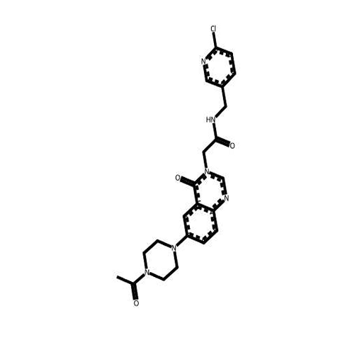 CC(=O)N1CCN(c2ccc3ncn(CC(=O)NCc4ccc(Cl)nc4)c(=O)c3c2)CC1